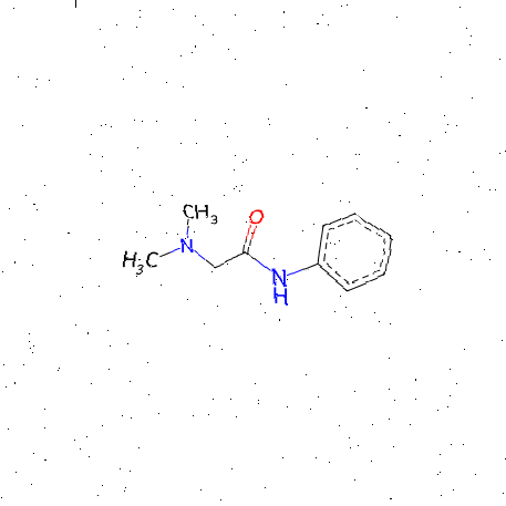 CN(C)CC(=O)Nc1ccccc1